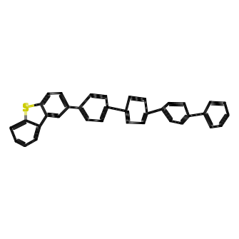 c1ccc(-c2ccc(-c3ccc(-c4ccc(-c5ccc6sc7ccccc7c6c5)cc4)cc3)cc2)cc1